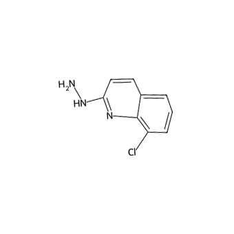 NNc1ccc2cccc(Cl)c2n1